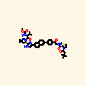 COC(=O)N[C@H](C(=O)N1CC2(CC2)C[C@H]1c1nc(-c2ccc3cc(-c4ccc(C(=O)CNC(=O)[C@@H]5SCCN5C(=O)CC(C)(C)C)cc4)ccc3c2)c[nH]1)C(C)C